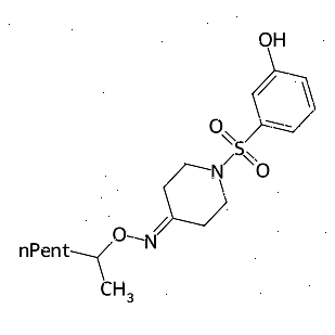 CCCCCC(C)ON=C1CCN(S(=O)(=O)c2cccc(O)c2)CC1